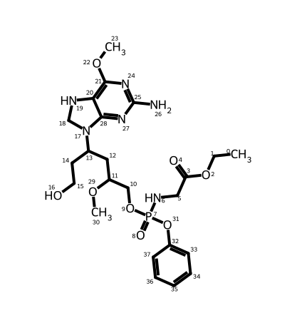 CCOC(=O)CNP(=O)(OCC(CC(CCO)N1CNc2c(OC)nc(N)nc21)OC)Oc1ccccc1